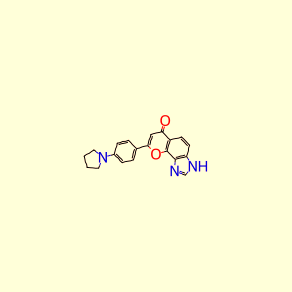 O=c1cc(-c2ccc(N3CCCC3)cc2)oc2c1ccc1[nH]cnc12